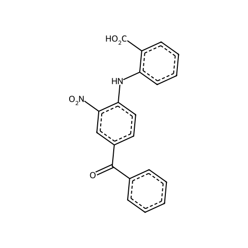 O=C(c1ccccc1)c1ccc(Nc2ccccc2C(=O)O)c([N+](=O)[O-])c1